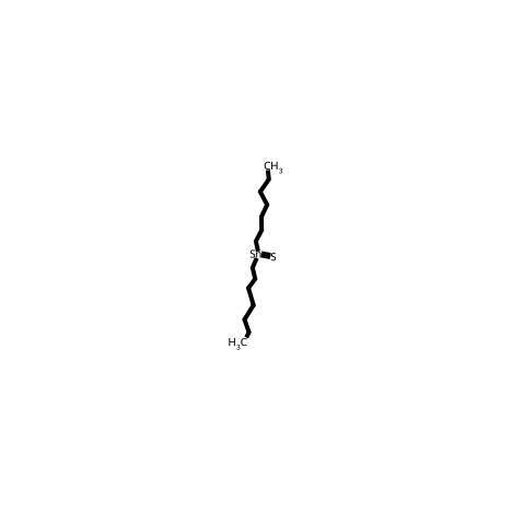 CCCCCC[CH2][Sn](=[S])[CH2]CCCCCC